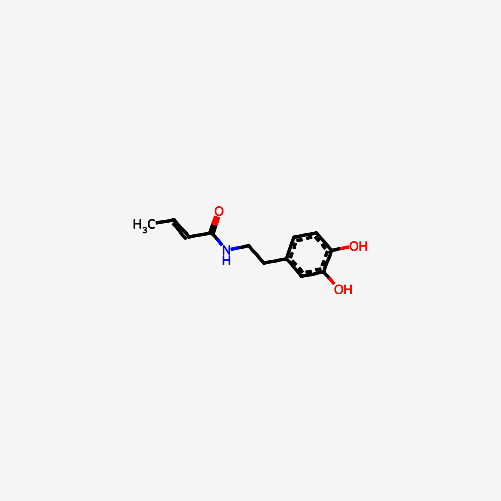 CC=CC(=O)NCCc1ccc(O)c(O)c1